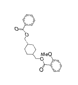 COc1ccccc1C(=O)OCC1CCC(COC(=O)c2ccccc2)CC1